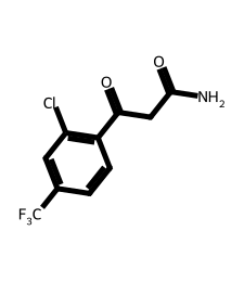 NC(=O)CC(=O)c1ccc(C(F)(F)F)cc1Cl